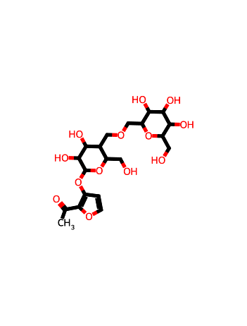 CC(=O)c1occc1OC1OC(CO)C(COCC2OC(CO)C(O)C(O)C2O)C(O)C1O